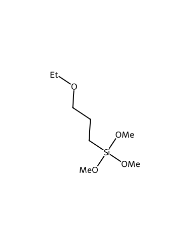 [CH2]COCCC[Si](OC)(OC)OC